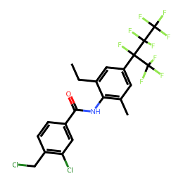 CCc1cc(C(F)(C(F)(F)F)C(F)(F)C(F)(F)F)cc(C)c1NC(=O)c1ccc(CCl)c(Cl)c1